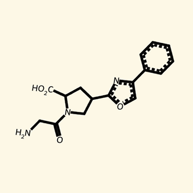 NCC(=O)N1CC(c2nc(-c3ccccc3)co2)CC1C(=O)O